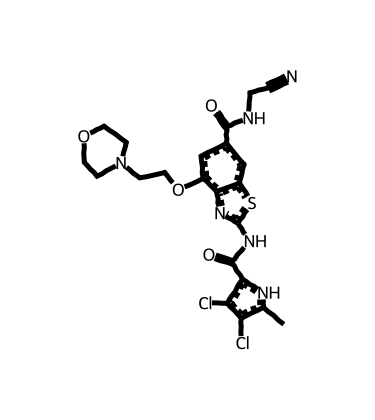 Cc1[nH]c(C(=O)Nc2nc3c(OCCN4CCOCC4)cc(C(=O)NCC#N)cc3s2)c(Cl)c1Cl